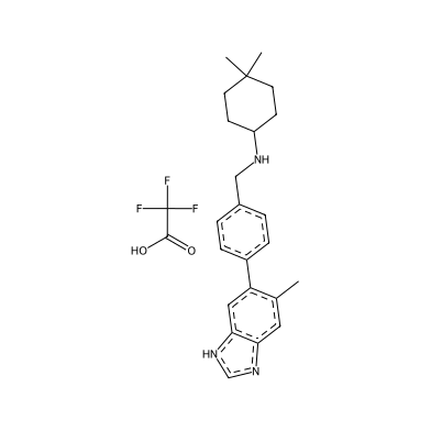 Cc1cc2nc[nH]c2cc1-c1ccc(CNC2CCC(C)(C)CC2)cc1.O=C(O)C(F)(F)F